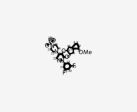 COc1cccc2c1CCC(Oc1c(N3CCN(S(=O)(=O)C(C)C)CC3)cnn(-c3cc(F)cc(F)c3)c1=O)C2